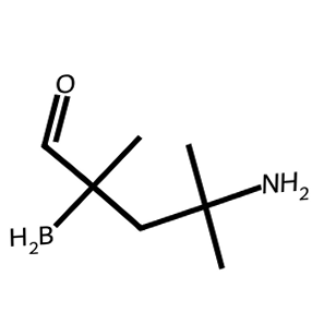 BC(C)(C=O)CC(C)(C)N